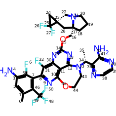 Cc1cc(N)c(F)c(-c2nc3c4c(nc(OC[C@@]56CCCN5C[C@]5(CC5(F)F)C6)nc4c2F)N([C@H](C)c2nccnc2N)CCO3)c1C(F)(F)F